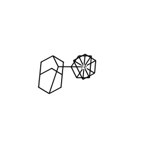 C1C2CC3CC1CC(C2)C3[C]12[CH]3[CH]4[CH]5[CH]1[Fe]45321678[CH]2[CH]1[CH]6[CH]7[CH]28